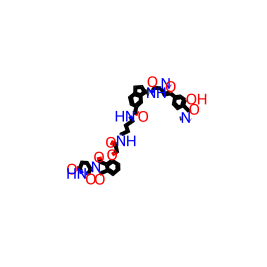 CN(C)C(=O)c1ccc(-c2cc(C(=O)N[C@@H]3CCc4ccc(C(=O)NCCCCNC(=O)COc5cccc6c5C(=O)N(C5CCC(=O)NC5=O)C6=O)cc43)no2)cc1O